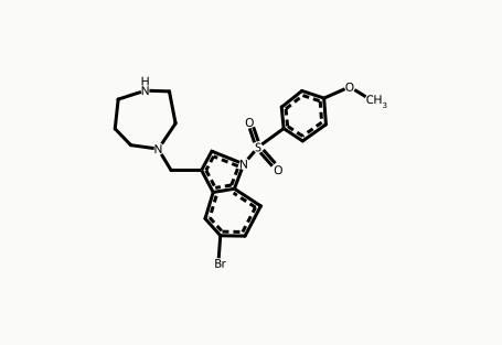 COc1ccc(S(=O)(=O)n2cc(CN3CCCNCC3)c3cc(Br)ccc32)cc1